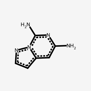 Nc1cc2ccnn2c(N)n1